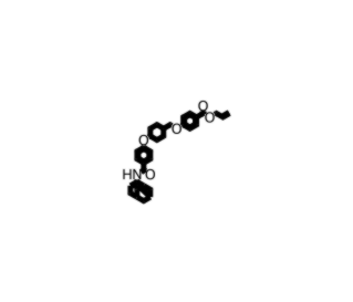 C=CCOC(=O)c1ccc(OCC2CCC(Oc3ccc(C(=O)NC4C5CC6CC(C5)CC4C6)cc3)CC2)cc1